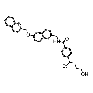 CCC(CCCO)c1ccc(C(=O)NCc2ccc3cc(OCc4ccc5ccccc5n4)ccc3c2)cc1